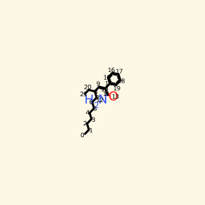 CCCCCCCCC(C=C(C(N)=O)c1ccccc1)CC